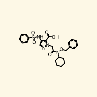 O=C(O)c1c(NS(=O)(=O)c2ccccc2)cnn1CC(=O)N(OCc1ccccc1)C1CCCCC1